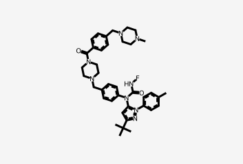 Cc1ccc(-n2nc(C(C)(C)C)cc2N(C(=O)NF)c2ccc(CN3CCN(C(=O)c4ccc(CN5CCN(C)CC5)cc4)CC3)cc2)cc1